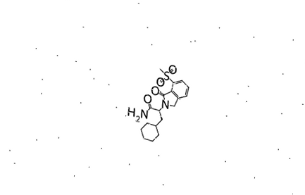 CS(=O)(=O)c1cccc2c1C(=O)N([C@@H](CC1CCCCC1)C(N)=O)C2